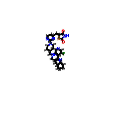 O=C1NC(=O)C(=Cc2ccnc(N3CCC(CNCc4cc5ccccc5nc4-c4ccncc4F)CC3)n2)S1